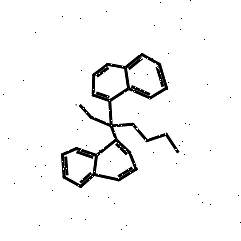 [CH2]CC(CCCC)(c1cccc2ccccc12)c1cccc2ccccc12